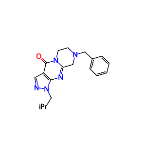 CC(C)Cn1ncc2c(=O)n3c(nc21)CN(Cc1ccccc1)CC3